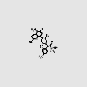 CC[C@H]1CN(C(C(=O)N(C)C(C)C)c2ccc(C(F)(F)F)cc2)[C@H](CC)CN1c1nc(=O)n(C)c2ccc(C#N)nc12